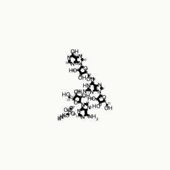 Nc1nc2c(ncn2[C@@H]2O[C@H](CO)[C@@H](O)[C@H]2O)c(=O)[nH]1.Nc1ncnc2c1ncn2[C@@H]1O[C@H](CO)[C@@H](O)[C@H]1O.O=P([O-])([O-])[O-].OC[C@H]1O[C@@H](n2cnc3c(O)ncnc32)[C@H](O)[C@@H]1O.[K+].[K+].[K+]